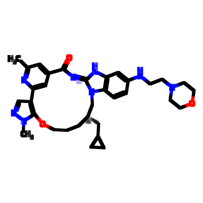 Cc1cc2cc(n1)-c1cnn(C)c1OCCC[C@@H](CC1CC1)CN1/C(=N/C2=O)Nc2cc(NCCN3CCOCC3)ccc21